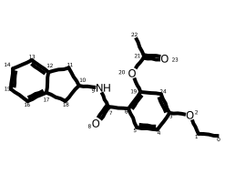 CCOc1ccc(C(=O)NC2Cc3ccccc3C2)c(OC(C)=O)c1